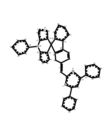 C1=C/C(=C\c2nc(-c3ccccc3)cc(-c3ccccc3)n2)CC2=C1c1ccccc1C21c2ccccc2N(c2ccccc2)c2ccccc21